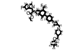 CCOC(=O)C(c1ncn2c1CC(F)C2)n1cc2c(C(F)F)cc(-c3ccc(N4CC(CN5CCC(CO[Si](C)(C)C(C)(C)C)CC5)C4)cc3)c(C)c2n1